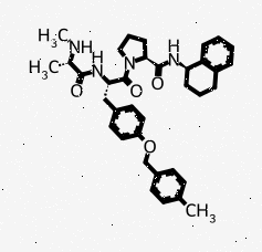 CN[C@@H](C)C(=O)N[C@@H](Cc1ccc(OCc2ccc(C)cc2)cc1)C(=O)N1CCC[C@H]1C(=O)N[C@@H]1CCCc2ccccc21